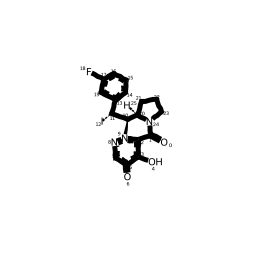 O=C1c2c(O)c(=O)cnn2[C@@H]([C@H](I)c2cccc(F)c2)[C@H]2CCCN12